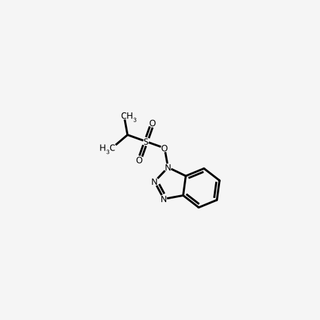 CC(C)S(=O)(=O)On1nnc2ccccc21